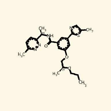 CCCO[C@@H](C)COc1cc(C(=O)N[C@H](C)c2ccc(C)nn2)cc(-c2ncc(C)s2)c1